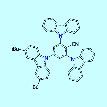 CCC(C)c1ccc2c(c1)c1cc(C(C)CC)ccc1n2-c1cc(-n2c3ccccc3c3ccccc32)c(C#N)c(-n2c3ccccc3c3ccccc32)c1